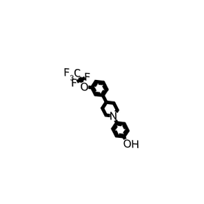 Oc1ccc(N2CCC(c3cccc(OC(F)(F)C(F)(F)F)c3)CC2)cc1